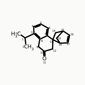 CC(C)c1cccc2c1CC(=O)CC21CC2C=CC1C2